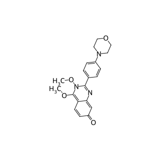 COc1c2ccc(=O)cc-2nc(-c2ccc(N3CCOCC3)cc2)n1OC